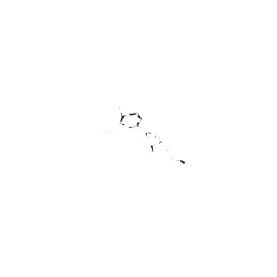 C#CCOCCN1CC(c2ccc(C)c(COP)c2)OC1=O